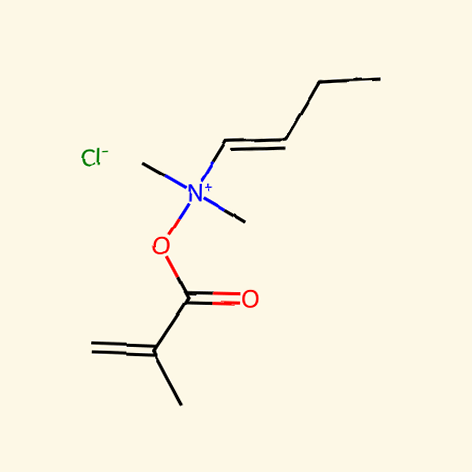 C=C(C)C(=O)O[N+](C)(C)C=CCC.[Cl-]